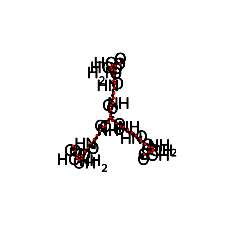 CC(=O)OCC1OC(OCCCC(=O)NCCCCCCNC(=O)OCCCC(C)(CCCOC(=O)NCCCCCCNC(=O)CCCOC2OC(COC(C)=O)C(O)C(O)C2N)CCCOC(=O)NCCCCCCNC(=O)CCCOC2OC(COC(C)=O)C(O)C(O)C2N)C(N)C(O)C1O